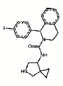 O=C(NC1CNCC12CC2)N1CCc2ccccc2C1c1ccc(F)cc1